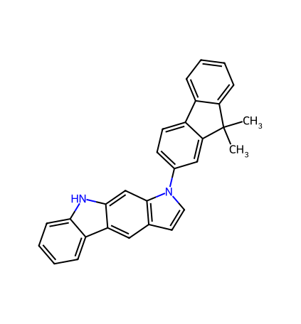 CC1(C)c2ccccc2-c2ccc(-n3ccc4cc5c(cc43)[nH]c3ccccc35)cc21